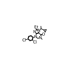 CCc1nc2c(n1C(C)C1CC1)C(=O)N(C)CN2c1ccc(Cl)cc1Cl